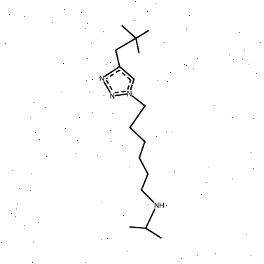 CC(C)NCCCCCCn1cc(CC(C)(C)C)nn1